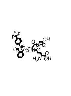 N[C@H](CCC(=O)N[C@H](CS[Se]c1ccccc1C(=O)Nc1ccc(C(F)(F)F)cc1)C(=O)NCC(=O)O)C(=O)O